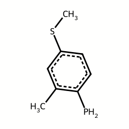 CSc1ccc(P)c(C)c1